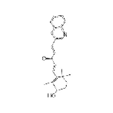 CC1=C(/C=C/C(=O)/C=C/c2cnc3ccccc3c2)C(C)(C)CCC1O